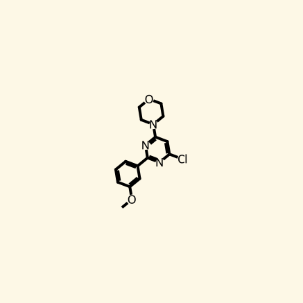 COc1cccc(-c2nc(Cl)cc(N3CCOCC3)n2)c1